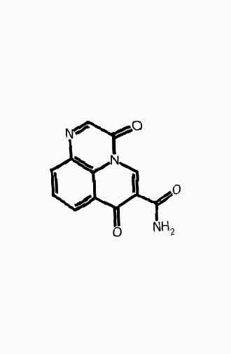 NC(=O)c1cn2c(=O)cnc3cccc(c1=O)c32